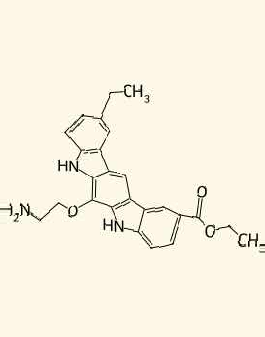 CCOC(=O)c1ccc2[nH]c3c(OCCN)c4[nH]c5ccc(CC)cc5c4cc3c2c1